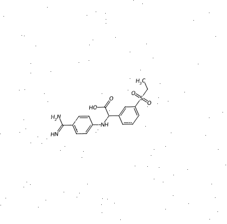 CCS(=O)(=O)c1cccc(C(Nc2ccc(C(=N)N)cc2)C(=O)O)c1